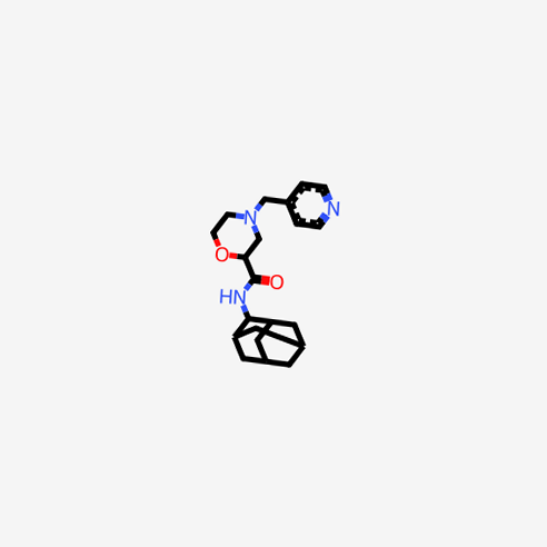 O=C(NC1C2CC3CC(C2)CC1C3)C1CN(Cc2ccncc2)CCO1